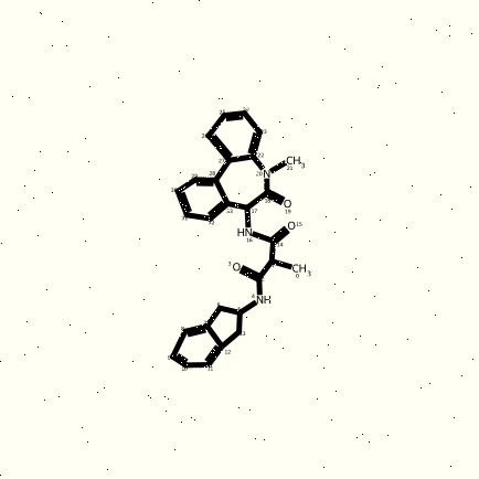 CC(C(=O)NC1Cc2ccccc2C1)C(=O)NC1C(=O)N(C)c2ccccc2-c2ccccc21